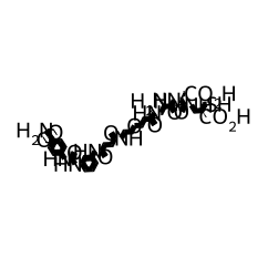 N[C@H](CNC(=O)CCOCCNC(=O)CCC(=O)Nc1cccc(NC(=O)Nc2ccc(S(N)(=O)=O)cc2)c1)C(=O)N[C@@H](CC(=O)O)C(=O)NC[C@H](CS)C(=O)O